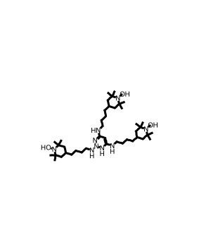 CC1(C)CC(CCCCNC2=CC(NCCCCC3CC(C)(C)N(O)C(C)(C)C3)=NN(NCCCCC3CC(C)(C)N(O)C(C)(C)C3)N2)CC(C)(C)N1O